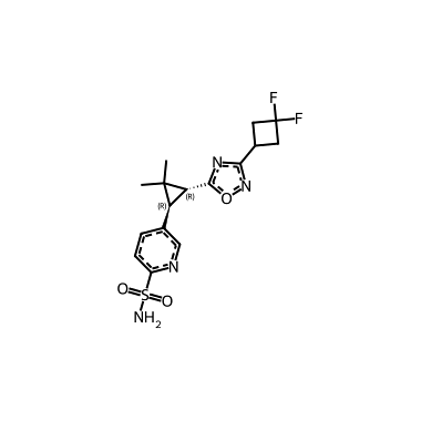 CC1(C)[C@H](c2ccc(S(N)(=O)=O)nc2)[C@H]1c1nc(C2CC(F)(F)C2)no1